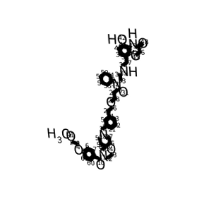 COCCOc1ccc(C(=O)N2CCOC3(CCN(Cc4cccc(CCOCCC(=O)N(CCNCCc5ccc(O)c6c5OCC(=O)N6)C5CCCCC5)c4)CC3)C2)cc1